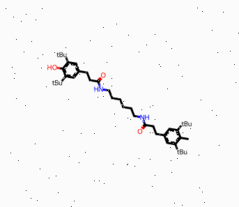 Cc1c(C(C)(C)C)cc(CCC(=O)NCCCCCCNC(=O)CCc2cc(C(C)(C)C)c(O)c(C(C)(C)C)c2)cc1C(C)(C)C